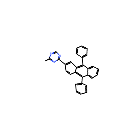 Cc1ncnc(-c2ccc3c(-c4ccccc4)c4ccccc4c(-c4ccccc4)c3c2)n1